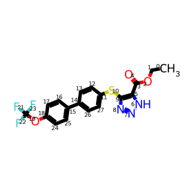 CCOC(=O)c1[nH]nnc1Sc1ccc(-c2ccc(OC(F)(F)F)cc2)cc1